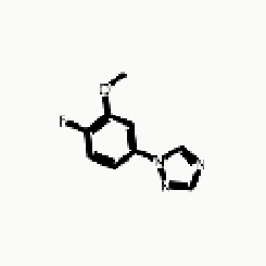 COc1cc(-n2cncn2)ccc1F